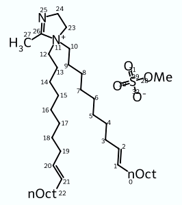 CCCCCCCCC=CCCCCCCCC[N+]1(CCCCCCCCC=CCCCCCCCC)CCN=C1C.COS(=O)(=O)[O-]